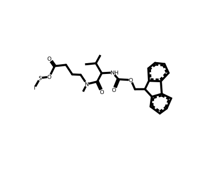 CC(C)C(NC(=O)OCC1c2ccccc2-c2ccccc21)C(=O)N(C)CCCC(=O)OSI